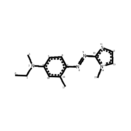 CCN(C)c1ccc(/N=N/c2scc[n+]2C)c(C)c1